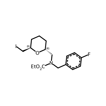 CCOC(=O)N(Cc1ccc(F)cc1)C[C@H]1CCC[C@H](CI)O1